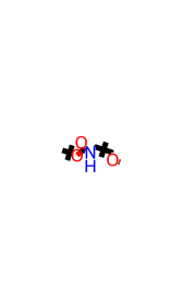 COCC(C)(C)CNC(=O)OC(C)(C)C